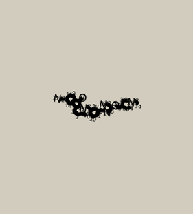 C=C1C=CC2=C(C(=O)c3ccc(C#N)cc32)N1Cc1cccc(-c2ncc(OCC3CCN(CC)CC3)cn2)c1